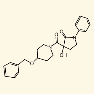 O=C(N1CCC(OCc2ccccc2)CC1)C1(O)CCN(c2ccccc2)C1=O